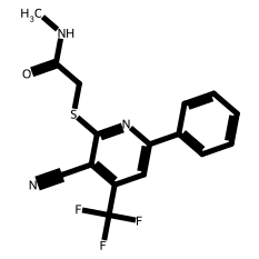 CNC(=O)CSc1nc(-c2ccccc2)cc(C(F)(F)F)c1C#N